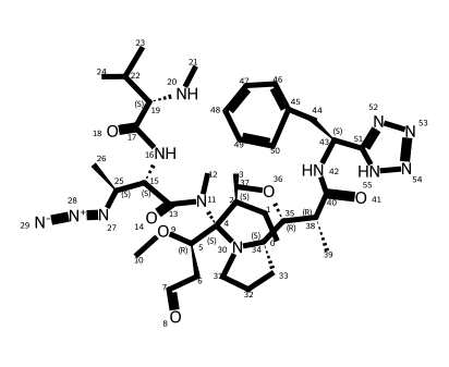 CC[C@H](C)[C@@]([C@@H](CC=O)OC)(N(C)C(=O)[C@@H](NC(=O)[C@@H](NC)C(C)C)[C@H](C)N=[N+]=[N-])N1CCC[C@H]1[C@H](OC)[C@@H](C)C(=O)N[C@@H](Cc1ccccc1)c1nnn[nH]1